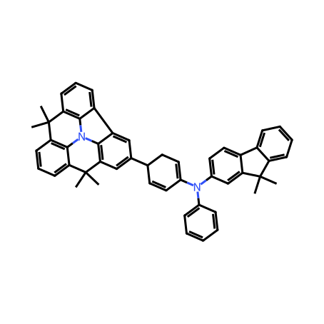 CC1(C)c2ccccc2-c2ccc(N(C3=CCC(c4cc5c6c(c4)c4cccc7c4n6-c4c(cccc4C5(C)C)C7(C)C)C=C3)c3ccccc3)cc21